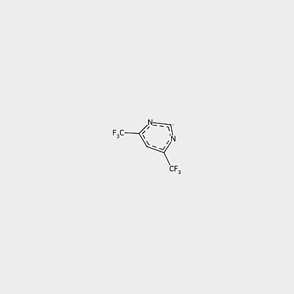 FC(F)(F)c1cc(C(F)(F)F)n[c]n1